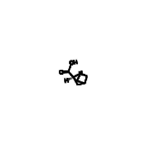 O=C(O)[C@@H]1CC2CN1C2